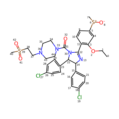 CCOc1cc([S+](C)[O-])ccc1C1=NC(c2ccc(Cl)cc2)C(c2ccc(Cl)cc2)N1C(=O)N1CCN(CCS(C)(=O)=O)CC1